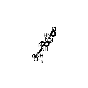 CC(=O)NCCCNc1nccc2c1CCc1cnc(Nc3cccc(Cl)c3)nc1-2